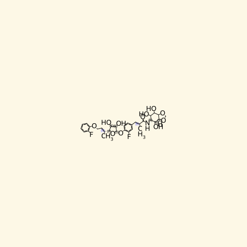 C/C(=C\c1ccc(O[C@@H]2O[C@H](/C(C)=C/COc3ccccc3F)[C@@H](O)[C@H]2O)c(F)c1)C(=O)N[C@@H]1C(O)C(O)C2OCO[C@H]2[C@@H]1O